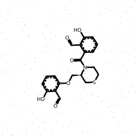 O=Cc1c(O)cccc1OC[C@@H]1CSCCN1C(=O)c1cccc(O)c1C=O